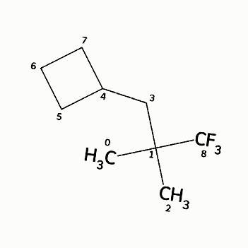 CC(C)(CC1CCC1)C(F)(F)F